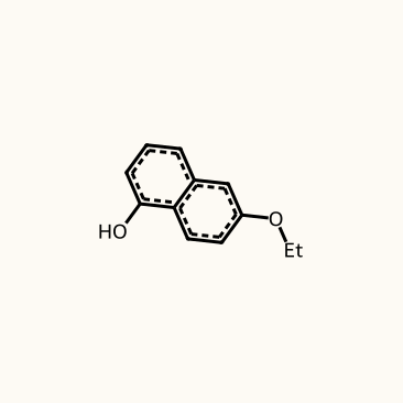 CCOc1ccc2c(O)cccc2c1